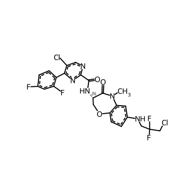 CN1C(=O)[C@@H](NC(=O)c2ncc(Cl)c(-c3ccc(F)cc3F)n2)COc2ccc(NCC(F)(F)CCl)cc21